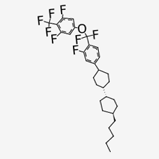 CCCCC[C@H]1CC[C@H](C2CCC(c3ccc(C(F)(F)Oc4cc(F)c(C(F)(F)F)c(F)c4)c(F)c3)CC2)CC1